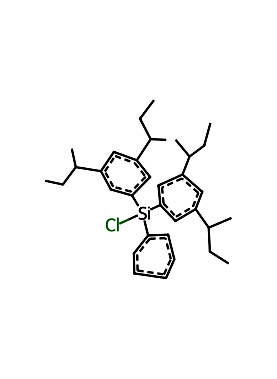 CCC(C)c1cc(C(C)CC)cc([Si](Cl)(c2ccccc2)c2cc(C(C)CC)cc(C(C)CC)c2)c1